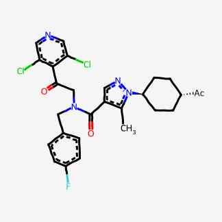 Cc1c(C(=O)N(CC(=O)c2c(Cl)cncc2Cl)Cc2ccc(F)cc2)cnn1[C@H]1CC[C@H](C(C)=O)CC1